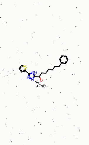 CC(C)(C)[Si](C)(C)OC(CCCCCCc1ccccc1)c1nnc(-c2cccs2)[nH]1